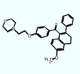 COc1ccc2c(c1)CCC(c1ccccc1)=C2C(=O)c1ccc(OCCN2CCOCC2)cc1